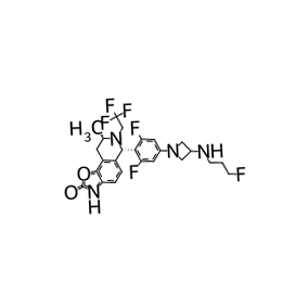 C[C@@H]1Cc2c(ccc3[nH]c(=O)oc23)[C@@H](c2c(F)cc(N3CC(NCCCF)C3)cc2F)N1CC(F)(F)F